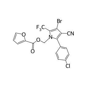 N#Cc1c(Br)c(C(F)(F)F)n(COC(=O)c2ccco2)c1-c1ccc(Cl)cc1